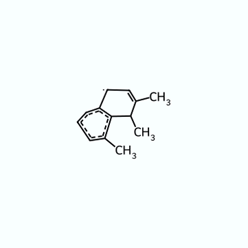 CC1=C[CH]c2cccc(C)c2C1C